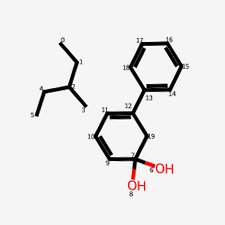 CCC(C)CC.OC1(O)C=CC=C(c2ccccc2)C1